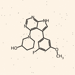 COc1cc(F)cc(-c2c[nH]c3ncnc(N4CCCC(O)C4)c23)c1